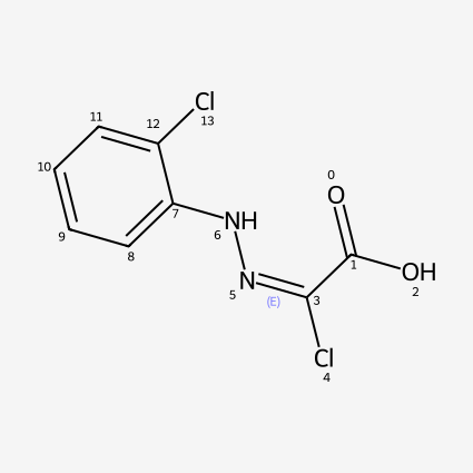 O=C(O)/C(Cl)=N\Nc1ccccc1Cl